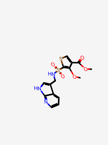 COC(=O)c1csc(S(=O)(=O)NCc2c[nH]c3ncccc23)c1OC